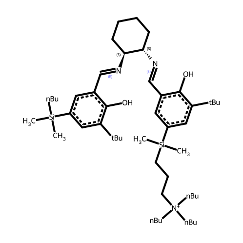 CCCC[N+](CCCC)(CCCC)CCC[Si](C)(C)c1cc(/C=N/[C@H]2CCCC[C@@H]2/N=C/c2cc([Si](C)(C)CCCC)cc(C(C)(C)C)c2O)c(O)c(C(C)(C)C)c1